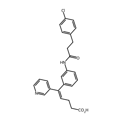 O=C(O)CCC=C(c1cccnc1)c1cccc(NC(=O)CCc2ccc(Cl)cc2)c1